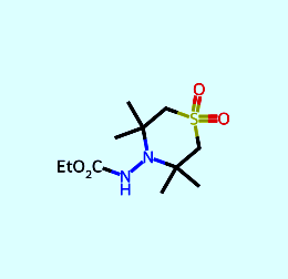 CCOC(=O)NN1C(C)(C)CS(=O)(=O)CC1(C)C